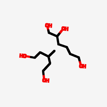 CC(CCO)CCO.OCCCCC(O)CO